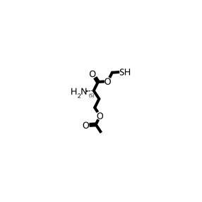 CC(=O)OCC[C@H](N)C(=O)OCS